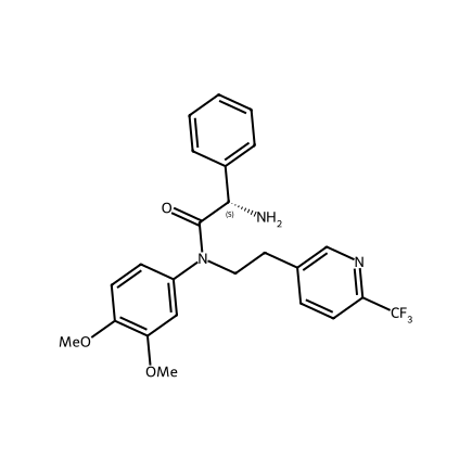 COc1ccc(N(CCc2ccc(C(F)(F)F)nc2)C(=O)[C@@H](N)c2ccccc2)cc1OC